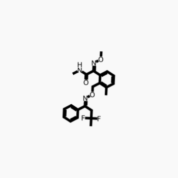 CNC(=O)/C(=N/OC)c1cccc(C)c1CO/N=C(\CC(C)(F)F)c1ccccc1